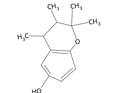 CC1c2cc(O)ccc2OC(C)(C)C1C